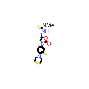 CNC(=S)NC[C@H]1CN(c2ccc(N3CCSCC3)c(F)c2)C(=O)O1